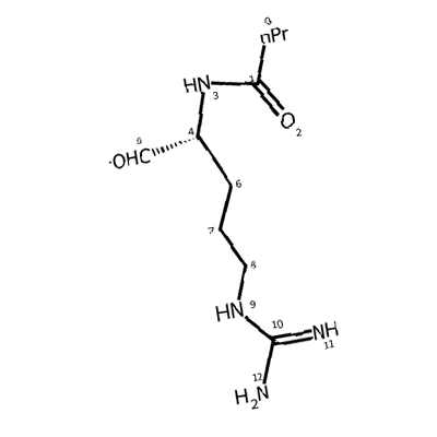 CCCC(=O)N[C@@H]([C]=O)CCCNC(=N)N